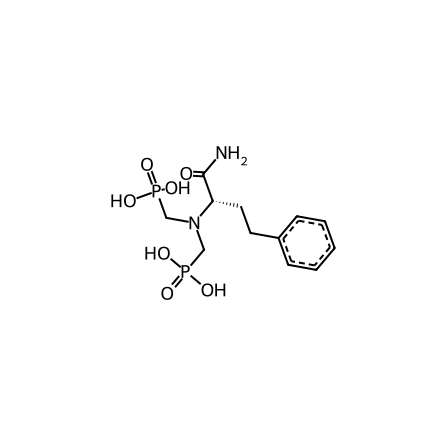 NC(=O)[C@H](CCc1ccccc1)N(CP(=O)(O)O)CP(=O)(O)O